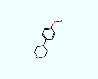 CCCOc1ccc(C2CCNCC2)cc1